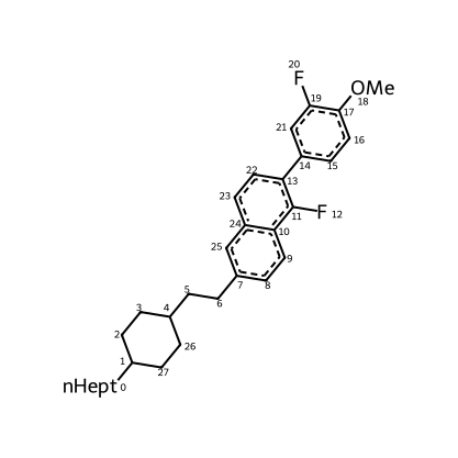 CCCCCCCC1CCC(CCc2ccc3c(F)c(-c4ccc(OC)c(F)c4)ccc3c2)CC1